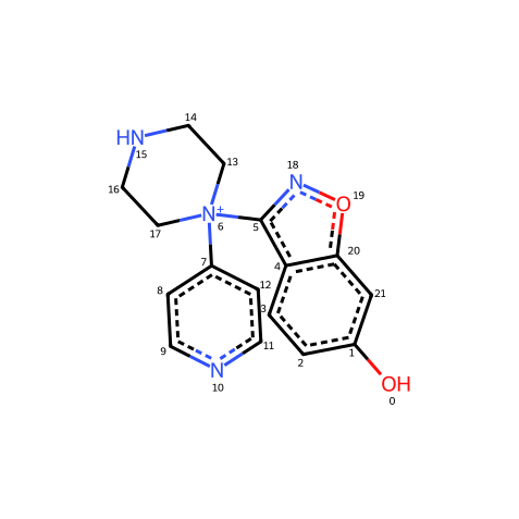 Oc1ccc2c([N+]3(c4ccncc4)CCNCC3)noc2c1